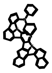 c1ccc(N(c2ccccc2)c2cccc3c4cccc5c6c7c8cc9ccccc9c9c%10c%11ccccc%11ccc%10n(c7ncc6n(c23)c45)c89)cc1